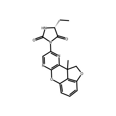 CC[C@H]1NC(=O)N(c2cnc3c(n2)C2(C)COc4cccc(c42)O3)C1=O